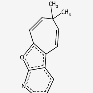 CC1(C)C=Cc2oc3ncccc3c2C=C1